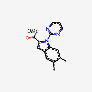 COC(=O)c1cc2cc(C)c(C)cc2n1-c1ncccn1